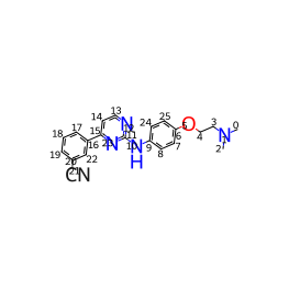 CN(C)CCOc1ccc(Nc2nccc(-c3cccc(C#N)c3)n2)cc1